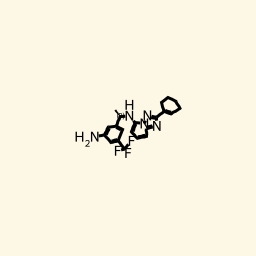 C[C@@H](Nc1cccc2nc(C3=CCCCC3)nn12)c1cc(N)cc(C(F)(F)F)c1